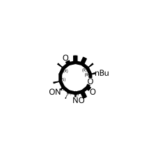 C=C1C(=C)[C@@H](C)[C@@H](CCCC)OC(=O)C(=C)[C@@H](N=O)[C@H](C)[C@@H](N=O)[C@@H](C)C[C@@H](C)C1=O